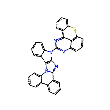 c1ccc2c(c1)Sc1cccc3nc(-n4c5ccccc5c5c4nc4c6ccccc6c6ccccc6n45)nc-2c13